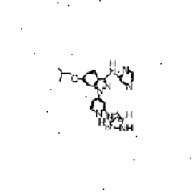 CC(C)COc1ccc2c(Nc3cnccn3)nn(-c3ccnc(N4C[C@@H]5C[C@H]4CN5)c3)c2c1